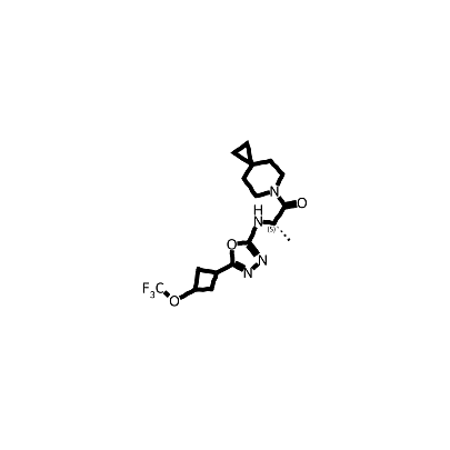 C[C@H](Nc1nnc(C2CC(OC(F)(F)F)C2)o1)C(=O)N1CCC2(CC1)CC2